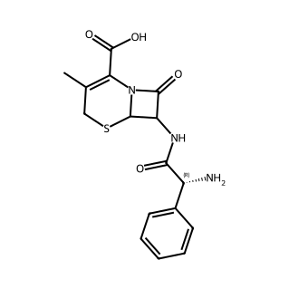 CC1=C(C(=O)O)N2C(=O)C(NC(=O)[C@H](N)c3ccccc3)C2SC1